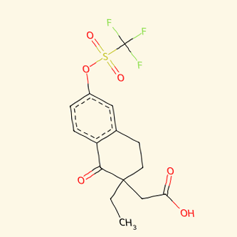 CCC1(CC(=O)O)CCc2cc(OS(=O)(=O)C(F)(F)F)ccc2C1=O